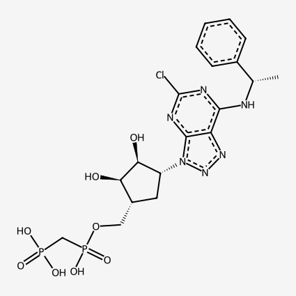 C[C@H](Nc1nc(Cl)nc2c1nnn2[C@@H]1C[C@H](COP(=O)(O)CP(=O)(O)O)[C@@H](O)[C@H]1O)c1ccccc1